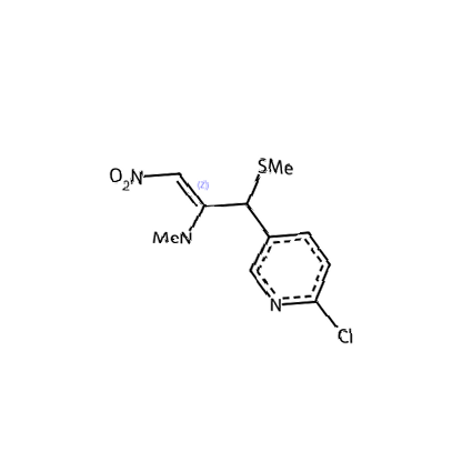 CN/C(=C\[N+](=O)[O-])C(SC)c1ccc(Cl)nc1